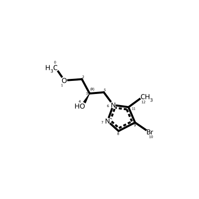 COC[C@H](O)Cn1ncc(Br)c1C